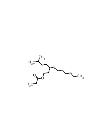 CCCCCCSC(CCOC(=O)CC)CCC(C)C